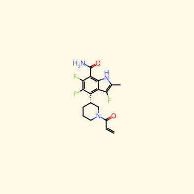 C=CC(=O)N1CCC[C@H](c2c(F)c(F)c(C(N)=O)c3[nH]c(C)c(F)c23)C1